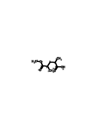 COC(=O)C(C)CC(C)C(=O)O